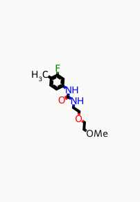 COCCOCCNC(=O)Nc1ccc(C)c(F)c1